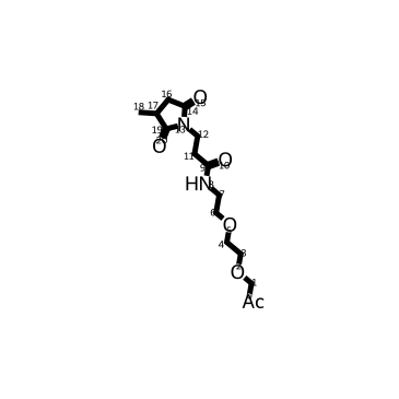 CC(=O)COCCOCCNC(=O)CCN1C(=O)CC(C)C1=O